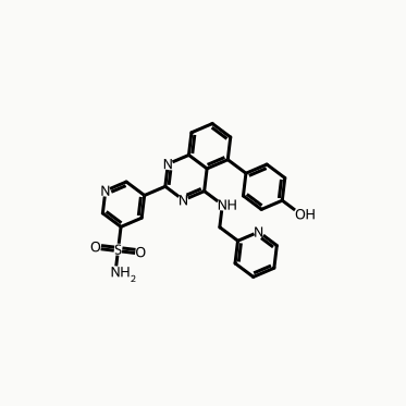 NS(=O)(=O)c1cncc(-c2nc(NCc3ccccn3)c3c(-c4ccc(O)cc4)cccc3n2)c1